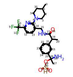 CC1CCN(c2nc(C(F)(F)F)ccc2CNC(=O)C(C)c2cccc(C(C)(N)O[SH](=O)=O)c2)CC1